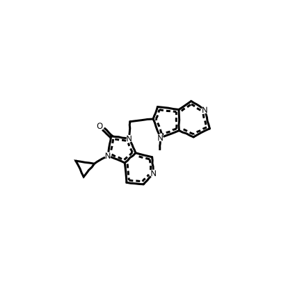 Cn1c(Cn2c(=O)n(C3CC3)c3ccncc32)cc2cnccc21